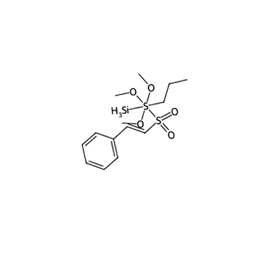 CCCS([SiH3])(OC)(OC)(OC)S(=O)(=O)C=Cc1ccccc1